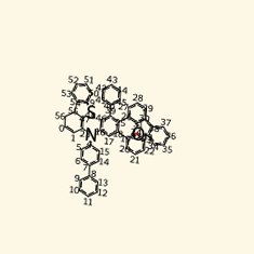 C1=CC(N(c2ccc(-c3ccccc3)cc2)c2cc(-c3ccccc3)c(-c3cccc4c3oc3ccccc34)c(-c3ccccc3)c2)=C2Sc3ccccc3C2C1